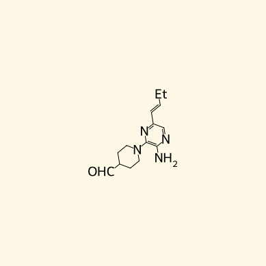 CC/C=C/c1cnc(N)c(N2CCC(C=O)CC2)n1